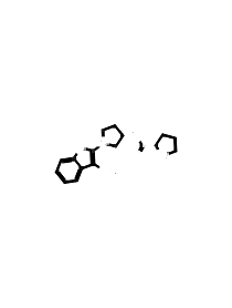 N#Cc1c(N2CC[C@H](NC(=O)[C@@H]3CCCN3)C2)[nH]c2ccccc12